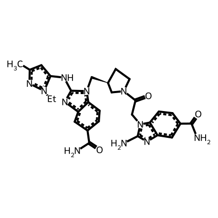 CCn1nc(C)cc1Nc1nc2cc(C(N)=O)ccc2n1C[C@H]1CCN(C(=O)Cn2c(N)nc3cc(C(N)=O)ccc32)C1